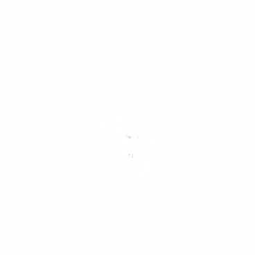 CC(C)=Cc1ncc(-c2ccc(F)cc2)cc1C